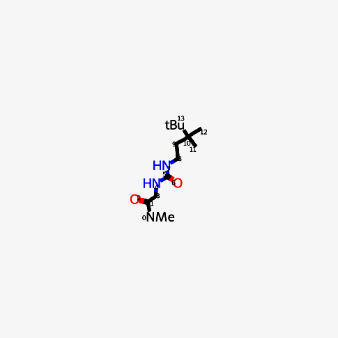 CNC(=O)CNC(=O)NCCC(C)(C)C(C)(C)C